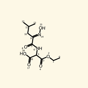 CCOC(=O)C(NC(=O)C(CC(C)C)=NO)C(=O)O